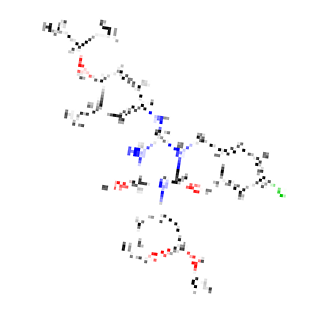 CC[C@@H](CC(=O)OC)n1c(=O)[nH]/c(=N\c2ccc(OC(C)C)c(C)c2)n(Cc2ccc(Cl)cc2)c1=O